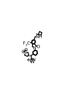 Cn1cnnc1C(c1cccc(N2Cc3c(cc(CNC4(C)CCC4)cc3C(F)(F)F)C2=O)c1)[C@@H]1CCS(=O)(=O)C1